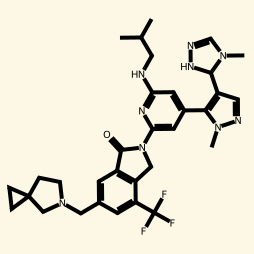 CC(C)CNc1cc(-c2c(C3NN=CN3C)cnn2C)cc(N2Cc3c(cc(CN4CCC5(CC5)C4)cc3C(F)(F)F)C2=O)n1